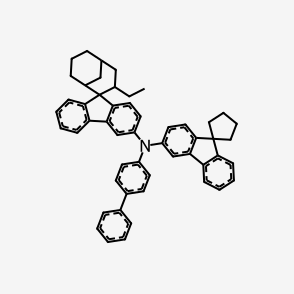 CCC1CC2CCCC(C2)C12c1ccccc1-c1cc(N(c3ccc(-c4ccccc4)cc3)c3ccc4c(c3)-c3ccccc3C43CCCC3)ccc12